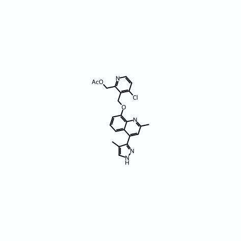 CC(=O)OCc1nccc(Cl)c1COc1cccc2c(-c3n[nH]cc3C)cc(C)nc12